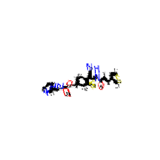 N#Cc1c(NC(=O)C=Cc2ccsc2)sc2c1CCC(COC(=O)NCc1cccnc1)C2